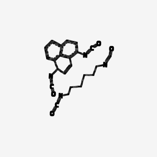 O=C=NCCCCCCN=C=O.O=C=Nc1ccc2cccc3c2c1C=CC3N=C=O